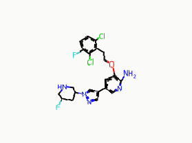 Nc1ncc(-c2cnn(C3CNC[C@H](F)C3)c2)cc1OCCc1c(Cl)ccc(F)c1Cl